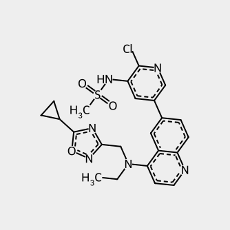 CCN(Cc1noc(C2CC2)n1)c1ccnc2ccc(-c3cnc(Cl)c(NS(C)(=O)=O)c3)cc12